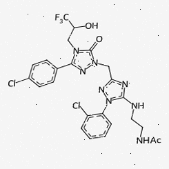 CC(=O)NCCNc1nc(Cn2nc(-c3ccc(Cl)cc3)n(CC(O)C(F)(F)F)c2=O)nn1-c1ccccc1Cl